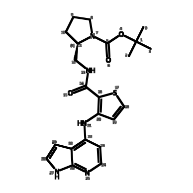 CC(C)(C)OC(=O)N1CCC[C@@H]1CNC(=O)c1sccc1Nc1ccnc2[nH]ccc12